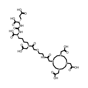 O=C(O)CC[C@H](NC(=O)N[C@@H](CCCCN(CC(=O)O)C(=O)COCCNC(=O)CN1CCN(CC(=O)O)CCN(CC(=O)O)CCN(CC(=O)O)CC1)C(=O)O)C(=O)O